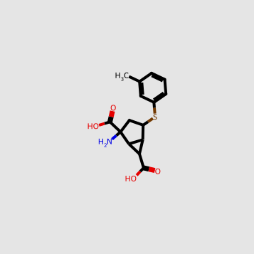 Cc1cccc(SC2CC(N)(C(=O)O)C3C(C(=O)O)C23)c1